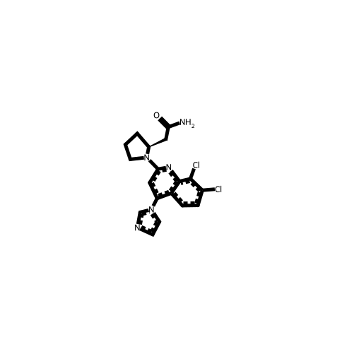 NC(=O)C[C@@H]1CCCN1c1cc(-n2ccnc2)c2ccc(Cl)c(Cl)c2n1